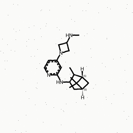 CNC1CN(c2ccnc(NC3C[C@@H]4C[C@@H](C3C)C4(C)C)c2)C1